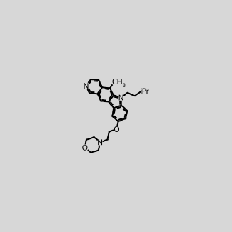 Cc1c2ccncc2cc2c3cc(OCCN4CCOCC4)ccc3n(CCC(C)C)c12